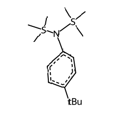 CC(C)(C)c1ccc(N(S(C)(C)C)S(C)(C)C)cc1